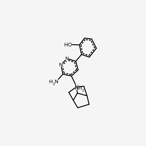 Nc1nnc(-c2ccccc2O)cc1N1CC2CCC(C1)C2N